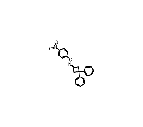 O=[N+]([O-])c1ccc(ON=C2CC(c3ccccc3)(c3ccccc3)C2)cc1